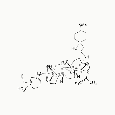 C=C(C)[C@@H]1CC[C@]2(NCC[C@]3(O)CC[C@@H](SC)CC3)CC[C@]3(C)[C@H](CC[C@@H]4[C@@]5(C)CC=C(C6=CC[C@@](CF)(C(=O)O)CC6)C(C)(C)[C@@H]5CC[C@]43C)[C@@H]12